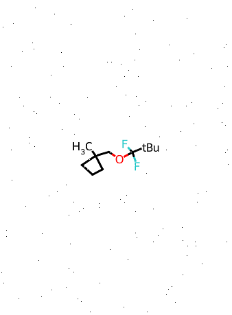 CC1(COC(F)(F)C(C)(C)C)CCC1